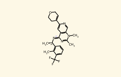 Cc1c([C@@H](C)/N=c2\nc(C)n(C)c3cnc(C4=CCOCC4)cc23)cccc1C(F)(F)F